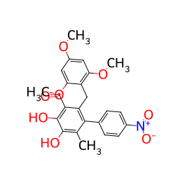 COc1cc(OC)c(Cc2c(C=O)c(O)c(O)c(C)c2-c2ccc([N+](=O)[O-])cc2)c(OC)c1